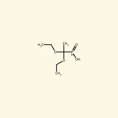 CCOC(C)(OCC)[PH](=O)O